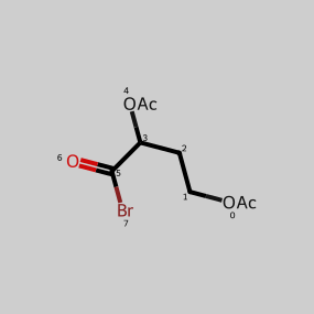 CC(=O)OCCC(OC(C)=O)C(=O)Br